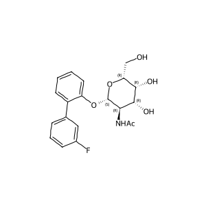 CC(=O)N[C@H]1[C@H](Oc2ccccc2-c2cccc(F)c2)O[C@H](CO)[C@H](O)[C@@H]1O